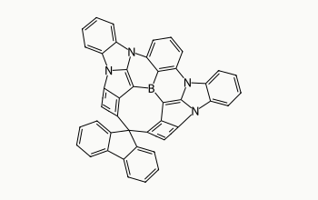 c1ccc2c(c1)-c1ccccc1C21c2cccc3c2c2c4n(c5ccccc5n34)-c3cccc4c3B2c2c3c1cccc3n1c3ccccc3n-4c21